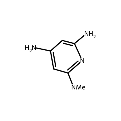 CNc1cc(N)cc(N)n1